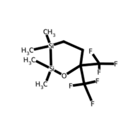 C[Si]1(C)CCC(C(F)(F)F)(C(F)(F)F)O[Si]1(C)C